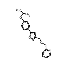 CC(C)Oc1ccc(-c2cc(COCc3ccccn3)no2)cc1